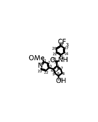 COc1cc(C2C3OC(CC3O)C2C(=O)Nc2ccc(C(F)(F)F)cc2)ccn1